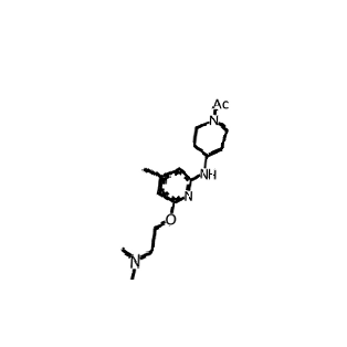 CC(=O)N1CCC(Nc2cc(C)cc(OCCN(C)C)n2)CC1